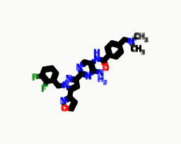 CN(C)Cc1ccc(C(=O)Nc2cnc(-c3cc(-c4ccon4)n(Cc4cccc(F)c4F)n3)nc2N)cc1